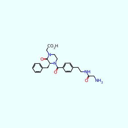 NCC(=O)NCCc1ccc(C(=O)N2CCN(CC(=O)O)C(=O)[C@@H]2Cc2ccccc2)cc1